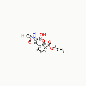 CCOC(=O)c1cccc2c1OB(O)[C@@H](NC(C)=O)C2